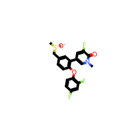 Cn1cc(-c2cc(C[S+](C)[O-])ccc2Oc2ccc(F)cc2F)cc(F)c1=O